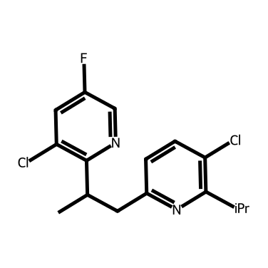 CC(C)c1nc(CC(C)c2ncc(F)cc2Cl)ccc1Cl